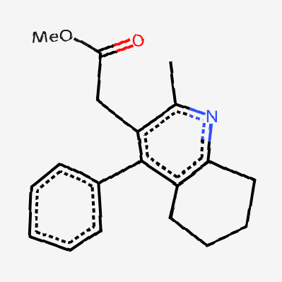 COC(=O)Cc1c(C)nc2c(c1-c1ccccc1)CCCC2